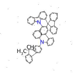 CC1(C)c2ccccc2-c2ccc(N(c3ccccc3)c3ccccc3-c3ccc4c(c3)C3(c5ccccc5-c5ccccc53)c3cccc5c6ccccc6n-4c35)cc21